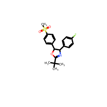 CC(C)(C)C1=NC(c2ccc(F)cc2)C(c2ccc(S(C)(=O)=O)cc2)O1